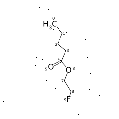 CCCCC(=O)OCCF